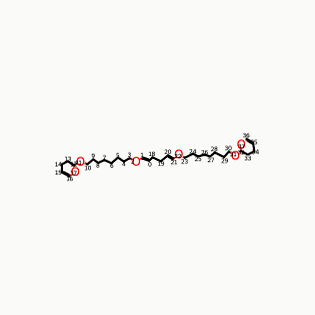 C(=COCCCCCCCCOC1CCC=CO1)CCC=COCCCCCCCCOC1CCC=CO1